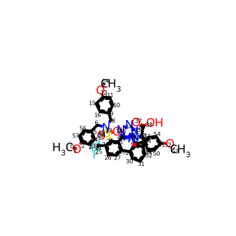 COc1ccc(CN(Cc2ccc(OC)cc2)S(=O)(=O)c2c(C(F)(F)F)ccc(-c3cccc4cc(C(=O)O)[nH]c34)c2-c2nnnn2Cc2ccc(OC)cc2)cc1